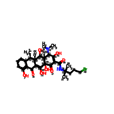 C[C@@H]1c2cccc(O)c2C(=O)C2=C(O)[C@@]3(O)C(=O)C(C(=O)NC(C)(C)CCCBr)=C(O)[C@H](N(C)C)[C@H]3[C@H](O)[C@H]21